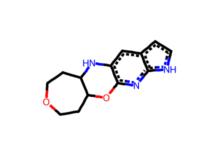 c1cc2cc3c(nc2[nH]1)OC1CCOCCC1N3